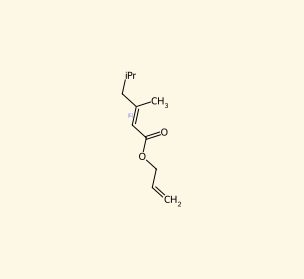 C=CCOC(=O)/C=C(\C)CC(C)C